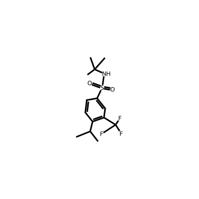 CC(C)c1ccc(S(=O)(=O)NC(C)(C)C)cc1C(F)(F)F